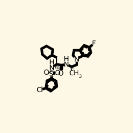 C[C@@H](CN1CCc2cc(F)ccc21)NC(=O)[C@H](CC1CCCCC1)NS(=O)(=O)c1cccc(Cl)c1